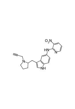 C#CCN1CCCC1Cc1c[nH]c2ccc(Nc3ncccc3[N+](=O)[O-])cc12